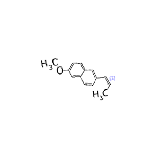 C/C=C\c1ccc2cc(OC)ccc2c1